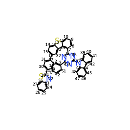 c1ccc(-c2nc(-c3cccc4sc5ccc(-c6ccc(-c7nc8ccccc8s7)cc6)cc5c34)nc(-n3c4ccccc4c4ccccc43)n2)cc1